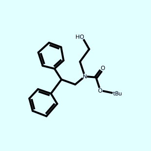 CC(C)(C)OC(=O)N(CCO)CC(c1ccccc1)c1ccccc1